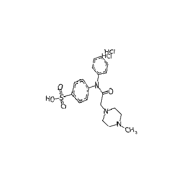 CN1CCN(CC(=O)N(c2ccccc2)c2ccc(S(=O)(=O)O)cc2)CC1.Cl.Cl